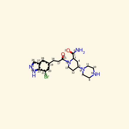 NC(=O)C1CC(N2CCNCC2)CCN1C(=O)[CH]Cc1cc(Br)c2[nH]ncc2c1